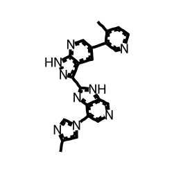 Cc1cn(-c2cncc3[nH]c(-c4n[nH]c5ncc(-c6cnccc6C)cc45)nc23)cn1